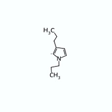 CCCc1[c]n(CCC)cc1